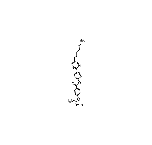 CCCCCC[C@@H](C)Oc1ccc(C(=O)Oc2ccc(-c3ncc(CCCCCC[C@@H](C)CC)cn3)cc2)cc1